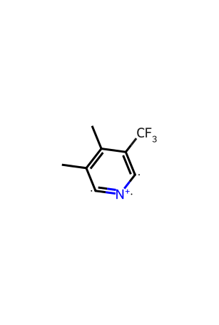 CC1=C(C)C(C(F)(F)F)=[C][N+]=[C]1